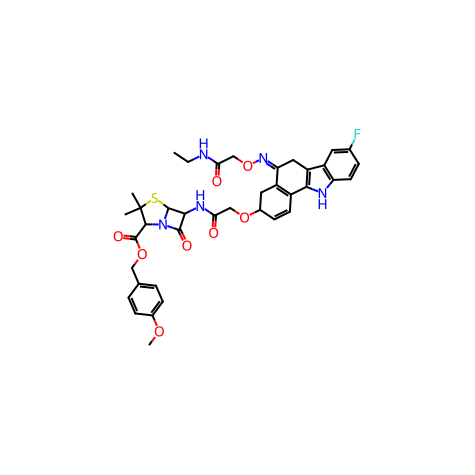 CCNC(=O)CO/N=C1/Cc2c([nH]c3ccc(F)cc23)C2=C1CC(OCC(=O)NC1C(=O)N3C1SC(C)(C)C3C(=O)OCc1ccc(OC)cc1)C=C2